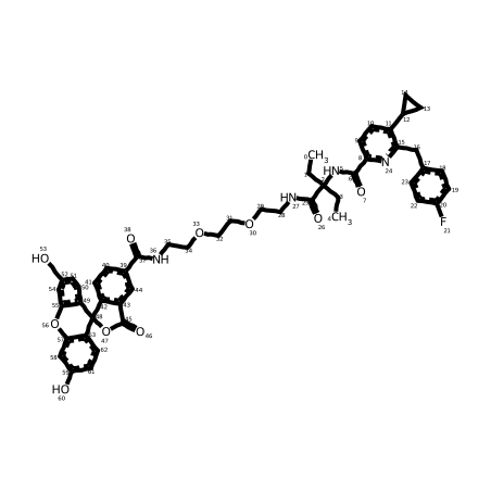 CCC(CC)(NC(=O)c1ccc(C2CC2)c(Cc2ccc(F)cc2)n1)C(=O)NCCOCCOCCNC(=O)c1ccc2c(c1)C(=O)OC21c2ccc(O)cc2Oc2cc(O)ccc21